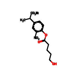 CCOC(=O)C(C)c1ccc(OC(=O)CCCCO)c([N+](=O)[O-])c1